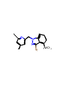 Cc1cc(C)nc(Cn2nc(Br)c3c([N+](=O)[O-])cccc32)c1